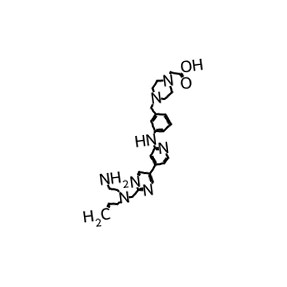 C=CCN(CCN)Cc1ncc(-c2ccnc(Nc3cccc(CN4CCN(CC(=O)O)CC4)c3)c2)cn1